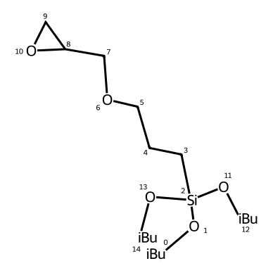 CCC(C)O[Si](CCCOCC1CO1)(OC(C)CC)OC(C)CC